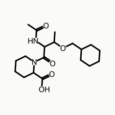 CC(=O)NC(C(=O)N1CCCCC1C(=O)O)C(C)OCC1CCCCC1